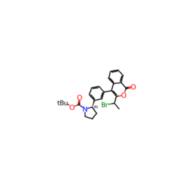 CC(Br)c1oc(=O)c2ccccc2c1-c1cccc([C@H]2CCCN2C(=O)OC(C)(C)C)c1